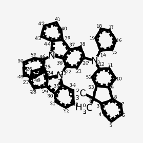 CC1(C)c2ccccc2-c2ccc(N(c3ccccc3)c3cc(-n4c5ccccc5c5ccccc54)c4c(c3)c3ccccc3n4-c3ccccc3)cc21